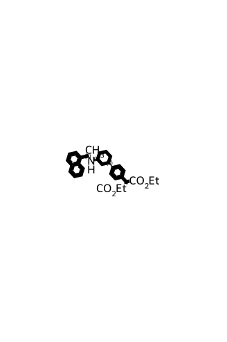 CCOC(=O)C(C(=O)OCC)c1ccc([C@H]2CCC[C@H](N[C@H](C)c3cccc4ccccc34)C2)cc1